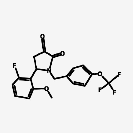 COc1cccc(F)c1C1CC(=O)C(=O)N1Cc1ccc(OC(F)(F)F)cc1